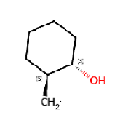 [CH2][C@H]1CCCC[C@@H]1O